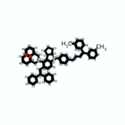 Cc1cccc(C(=C/C=C/c2ccc(N3c4ccc(C=C(c5ccccc5)c5ccccc5)c(N(Cc5ccccc5)Cc5ccccc5)c4C4CCCC43)cc2)c2cccc(C)c2)c1